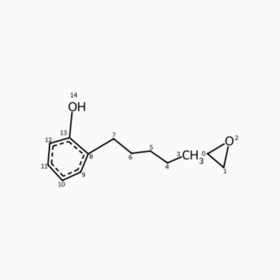 C1CO1.CCCCCc1ccccc1O